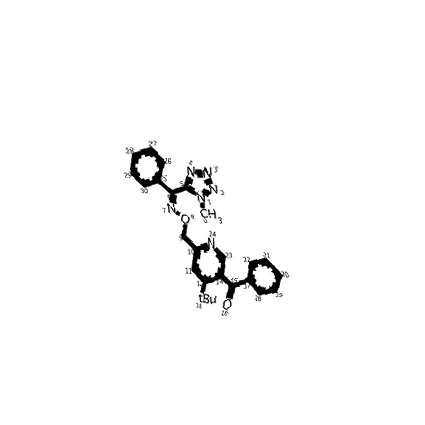 Cn1nnnc1/C(=N\OCc1cc(C(C)(C)C)c(C(=O)c2ccccc2)[c]n1)c1ccccc1